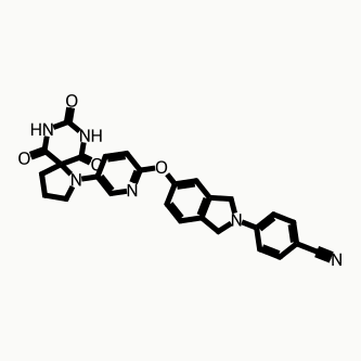 N#Cc1ccc(N2Cc3ccc(Oc4ccc(N5CCCC56C(=O)NC(=O)NC6=O)cn4)cc3C2)cc1